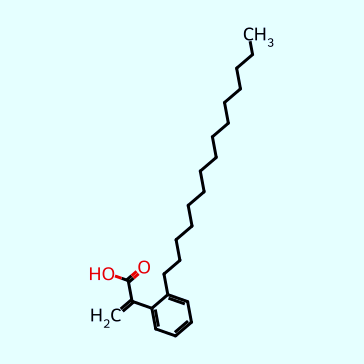 C=C(C(=O)O)c1ccccc1CCCCCCCCCCCCCCC